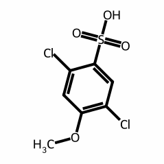 COc1cc(Cl)c(S(=O)(=O)O)cc1Cl